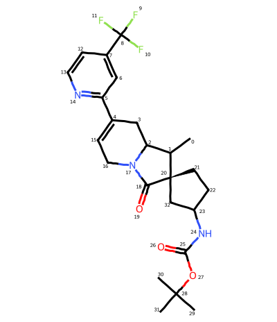 CC1C2CC(c3cc(C(F)(F)F)ccn3)=CCN2C(=O)[C@]12CCC(NC(=O)OC(C)(C)C)C2